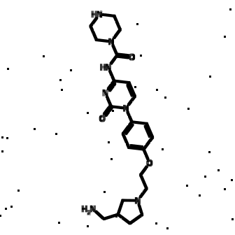 NCC1CCN(CCOc2ccc(-n3ccc(NC(=O)N4CCNCC4)nc3=O)cc2)C1